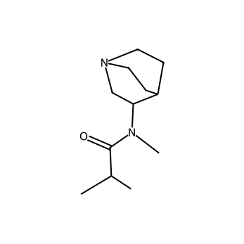 CC(C)C(=O)N(C)C1CN2CCC1CC2